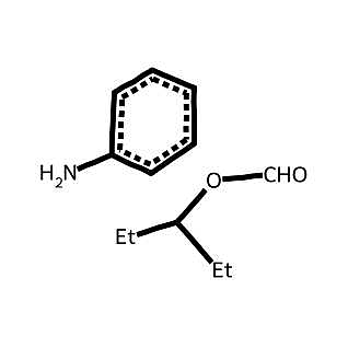 CCC(CC)OC=O.Nc1ccccc1